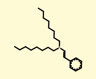 CCCCCCCCP(C=Cc1ccccc1)CCCCCCCC